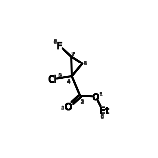 CCOC(=O)C1(Cl)CC1F